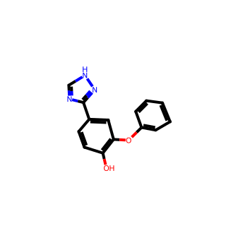 Oc1ccc(-c2nc[nH]n2)cc1Oc1ccccc1